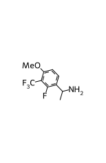 COc1ccc(C(C)N)c(F)c1C(F)(F)F